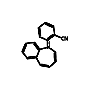 C1=CNc2ccccc2C=C1.N#Cc1ccccc1